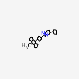 Cc1c2ccccc2c(-c2ccc(-c3cn4cc(-c5ccccc5)ccc4n3)cc2)c2ccccc12